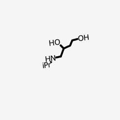 CC(C)NCC(O)CCO